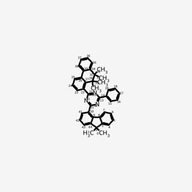 CC1(C)c2ccccc2-c2c(-c3nc(-c4ccccc4)nc(-c4cccc5c4C(C)(C)C(C)(C)c4ccccc4-5)n3)cccc21